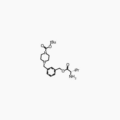 CC(C)[C@H](N)C(=O)OCc1cccc(CN2CCN(C(=O)OC(C)(C)C)CC2)c1